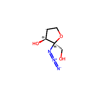 [N-]=[N+]=N[C@]1(CO)OC[CH][C@@H]1O